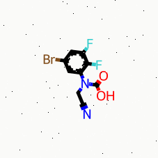 N#CCN(C(=O)O)c1cc(Br)cc(F)c1F